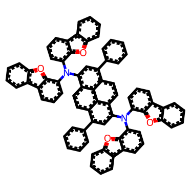 c1ccc(-c2cc(N(c3cccc4c3oc3ccccc34)c3cccc4c3oc3ccccc34)c3ccc4c(-c5ccccc5)cc(N(c5cccc6c5oc5ccccc56)c5cccc6c5oc5ccccc56)c5ccc2c3c45)cc1